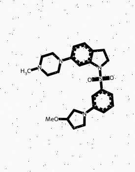 COC1CCN(c2cccc(S(=O)(=O)N3CCc4ccc(N5CCN(C)CC5)cc43)c2)C1